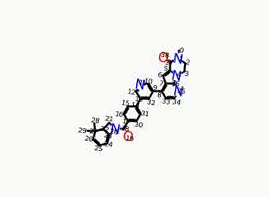 CN1CCn2c(cc3c(-c4cncc(-c5ccc(C(=O)N6CC7C6=CC=CC7(C)C)cc5)c4)ccnc32)C1=O